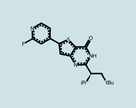 CC(C)[C@H]([CH]C(C)(C)C)c1nc2cc(-c3ccnc(F)c3)sc2c(=O)[nH]1